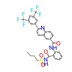 CCCCS(=O)(=O)NC(=O)c1ccccc1NC(=O)c1ccc2nc(-c3cc(C(F)(F)F)cc(C(F)(F)F)c3)ccc2c1